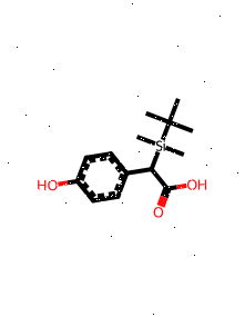 CC(C)(C)[Si](C)(C)C(C(=O)O)c1ccc(O)cc1